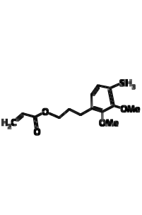 C=CC(=O)OCCCc1ccc([SiH3])c(OC)c1OC